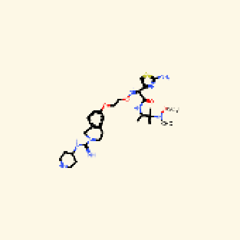 CC(NC(=O)/C(=N\OCCOc1ccc2c(c1)CCN(C(=N)NC1CCNCC1)C2)c1csc(N)n1)C(C)(C)N(C=O)OS(=O)(=O)O